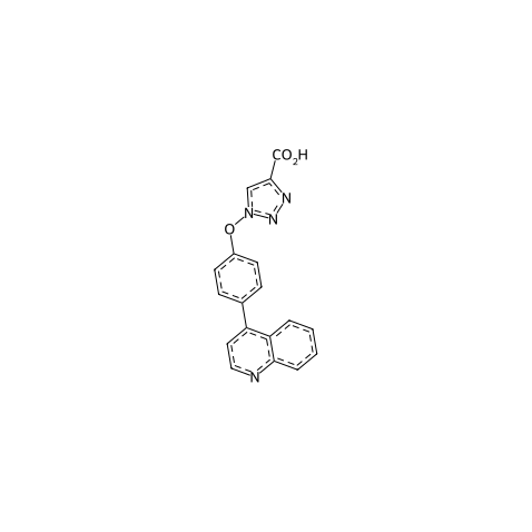 O=C(O)c1cn(Oc2ccc(-c3ccnc4ccccc34)cc2)nn1